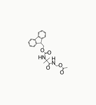 CC(=O)OCNC(=O)C(C)(C)NC(=O)OCC1c2ccccc2-c2ccccc21